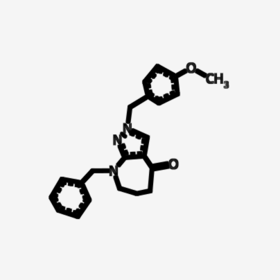 COc1ccc(Cn2cc3c(n2)N(Cc2ccccc2)CCCC3=O)cc1